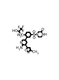 Cc1cc(-c2cc(-c3cc(S(=O)(=O)N4CCNC(=O)C4)ccc3C)cnc2N)on1.O=C(O)C(F)(F)F